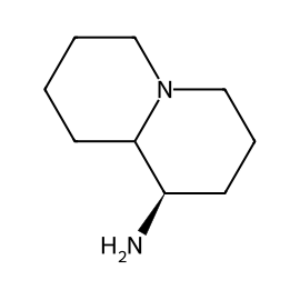 N[C@@H]1CCCN2CCCCC12